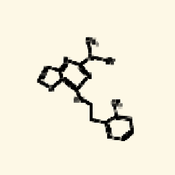 CC(C)N(C)c1nc(NCCc2ccccc2C(F)(F)F)c2sccc2n1